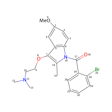 COc1ccc2c(c1)c(OCCN(C)C)c(C)n2C(=O)c1ccccc1Br